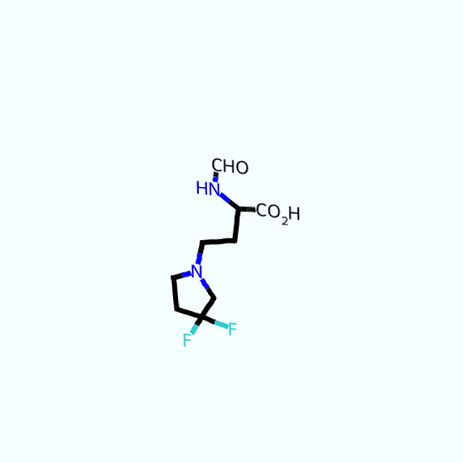 O=CNC(CCN1CCC(F)(F)C1)C(=O)O